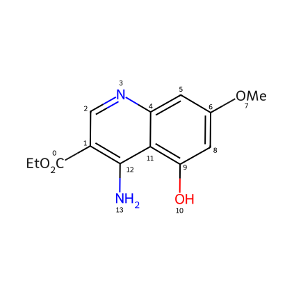 CCOC(=O)c1cnc2cc(OC)cc(O)c2c1N